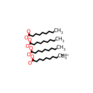 CCCCCCCCC(=O)[O-].CCCCCCCCC(=O)[O-].CCCCCCCCC(=O)[O-].CCCCCCCCC(=O)[O-].[Ti+4]